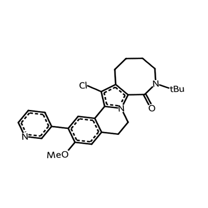 COc1cc2c(cc1-c1cccnc1)-c1c(Cl)c3c(n1CC2)C(=O)N(C(C)(C)C)CCCC3